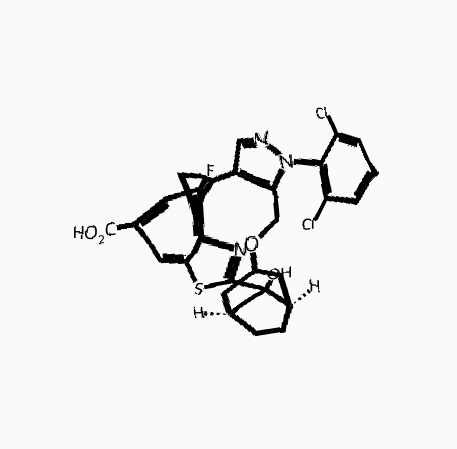 O=C(O)c1cc(F)c2nc(C3(O)[C@@H]4CC[C@H]3CC(OCc3c(C5CC5)cnn3-c3c(Cl)cccc3Cl)C4)sc2c1